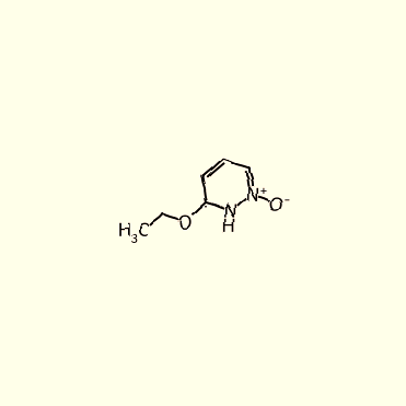 CCO[C]1C=CC=[N+]([O-])N1